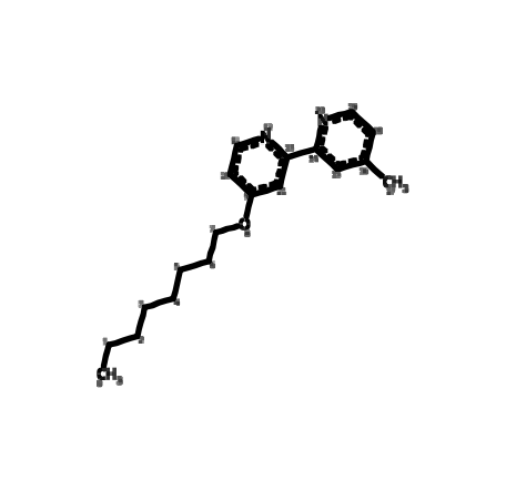 CCCCCCCCOc1ccnc(-c2cc(C)ccn2)c1